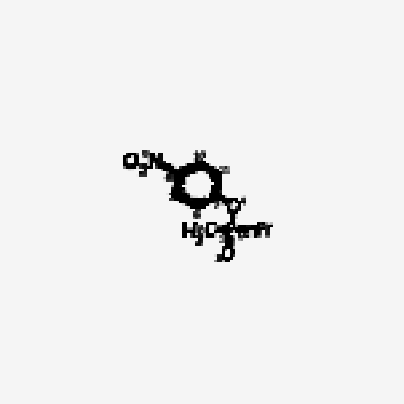 CCCP(C)(=O)Oc1ccc([N+](=O)[O-])cc1